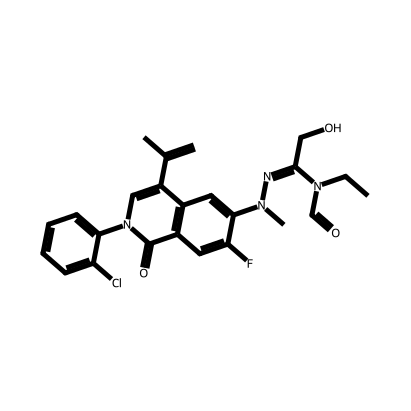 C=C(C)c1cn(-c2ccccc2Cl)c(=O)c2cc(F)c(N(C)/N=C(/CO)N(C=O)CC)cc12